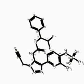 Cc1nc(-c2nnn(CC#N)c2NC(=O)OC(c2ccccc2)C(F)F)ccc1NS(C)(=O)=O